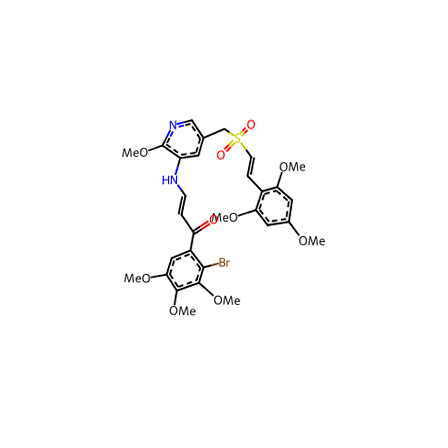 COc1cc(OC)c(C=CS(=O)(=O)Cc2cnc(OC)c(NC=CC(=O)c3cc(OC)c(OC)c(OC)c3Br)c2)c(OC)c1